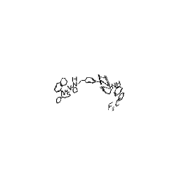 O=C(N=C1SCC(=O)N1c1cccc2c1CCCC2)NCCc1ccc(NC(=O)Nc2ccc(OC(F)(F)F)cc2)cc1